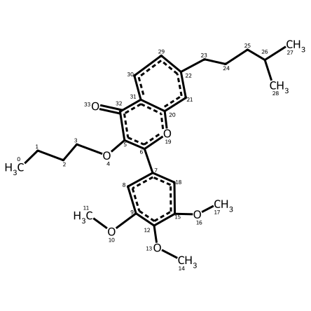 CCCCOc1c(-c2cc(OC)c(OC)c(OC)c2)oc2cc(CCCC(C)C)ccc2c1=O